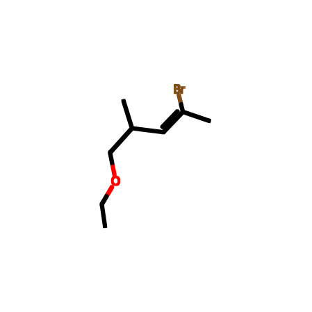 CCOCC(C)C=C(C)Br